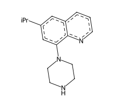 CC(C)c1cc(N2CCNCC2)c2ncccc2c1